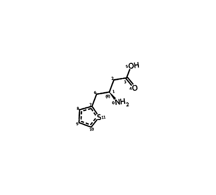 N[C@H](CC(=O)O)Cc1cccs1